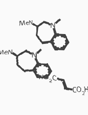 CNC1CCc2ccccc2N(C)C1.CNC1CCc2ccccc2N(C)C1.O=C(O)/C=C/C(=O)O